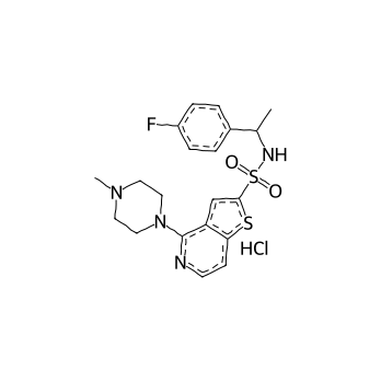 CC(NS(=O)(=O)c1cc2c(N3CCN(C)CC3)nccc2s1)c1ccc(F)cc1.Cl